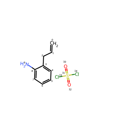 C=CCc1ccccc1N.O=S(=O)(Cl)Cl